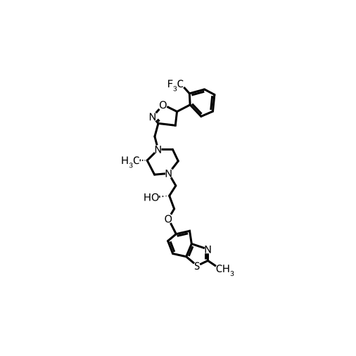 Cc1nc2cc(OC[C@H](O)CN3CCN(CC4=NOC(c5ccccc5C(F)(F)F)C4)[C@@H](C)C3)ccc2s1